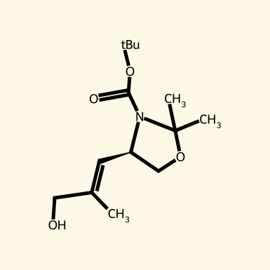 C/C(=C\[C@@H]1COC(C)(C)N1C(=O)OC(C)(C)C)CO